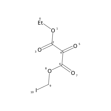 CCOC(=O)C(=O)C(=O)OCI